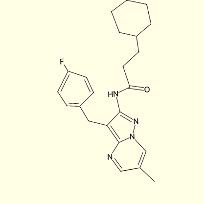 Cc1cnc2c(Cc3ccc(F)cc3)c(NC(=O)CCC3CCCCC3)nn2c1